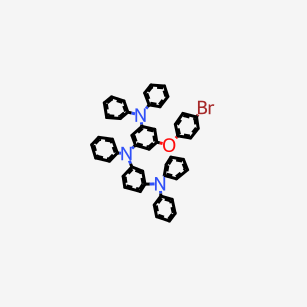 Brc1ccc(Oc2cc(N(c3ccccc3)c3ccccc3)cc(N(c3ccccc3)c3cccc(N(c4ccccc4)c4ccccc4)c3)c2)cc1